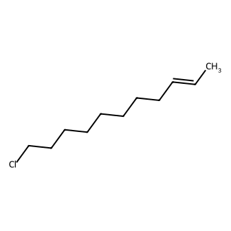 CC=CCCCCCCCCCl